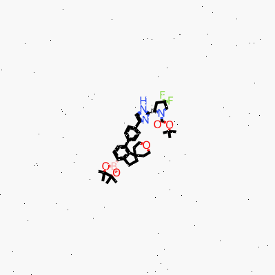 CC(C)(C)OC(=O)N1CC(F)(F)C[C@H]1c1nc(-c2ccc(-c3ccc(B4OC(C)(C)C(C)(C)O4)c4c3C3(CCOCC3)CC4)cc2)c[nH]1